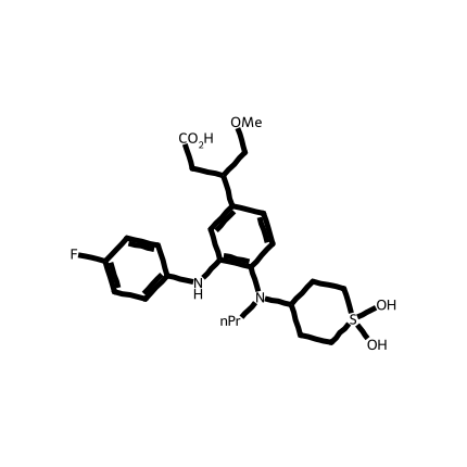 CCCN(c1ccc(C(COC)CC(=O)O)cc1Nc1ccc(F)cc1)C1CCS(O)(O)CC1